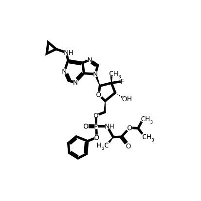 CC(C)OC(=O)[C@@H](C)NP(=O)(OC[C@H]1O[C@@H](n2cnc3c(NC4CC4)ncnc32)[C@](C)(F)[C@@H]1O)Oc1ccccc1